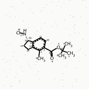 Cc1c(C(=O)OC(C)(C)C)ccc2c1CC[C@@H]2NCl